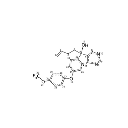 C=CCCC(O)(c1cncnc1)c1ccc(Oc2ccc(OC(F)(F)F)cc2)cn1